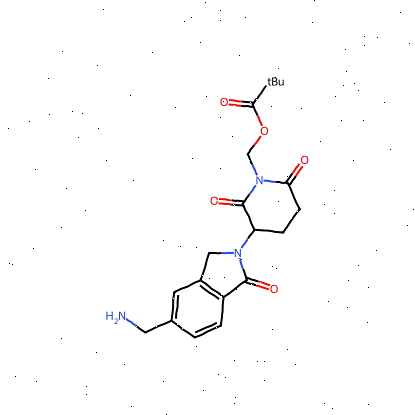 CC(C)(C)C(=O)OCN1C(=O)CCC(N2Cc3cc(CN)ccc3C2=O)C1=O